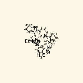 CCOCCn1c(N2CCCN(CCC3(c4ccccc4)CCN(C(=O)c4cc(-n5cnnn5)ccc4C)C3)CC2)nc2ccccc21